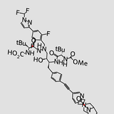 COC(=O)N[C@H](C(=O)N[C@@H](Cc1ccc(C#Cc2ccc(N3CC4CCC(C3)N4C3COC3)nc2)cc1)[C@@H](O)CN(Cc1c(F)cc(-c2ccn(C(F)F)n2)cc1F)NC(=O)[C@@H](NC(=O)O)C(C)(C)C)C(C)(C)C